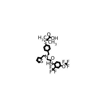 CC(C)(Sc1ccc(CN(CC(=O)Nc2ccc(OC(F)(F)F)cc2C(F)(F)F)Cc2cccs2)cc1)C(=O)O